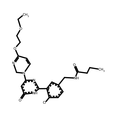 CCCC(=O)NCc1ccc(Cl)c(-c2nc(N3C=CC(OCCOCC)=NC3)cc(=O)[nH]2)c1